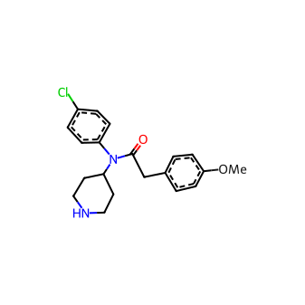 COc1ccc(CC(=O)N(c2ccc(Cl)cc2)C2CCNCC2)cc1